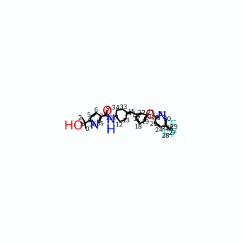 CC(C)(O)c1ccc(C(=O)NC2CCC(=Cc3cccc(Oc4ccc(C(F)(F)F)cn4)c3)CC2)cn1